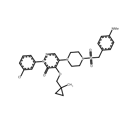 CNc1ccc(CS(=O)(=O)N2CCN(c3cnn(-c4cccc(Cl)c4)c(=O)c3OCC3(C)CC3)CC2)cc1